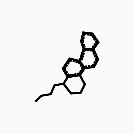 CCCCC1CCCc2c1ccc1c2ccc2ccccc21